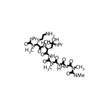 CCCC(=O)N(C)[C@H](SCCN)C(=O)N(C)[C@@H](CC(C)(O)CCC)C(=O)NC(=O)N(C)C(=O)NC(=O)NC(=O)N(C)C(=O)NC